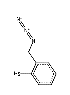 [N-]=[N+]=NCc1ccccc1S